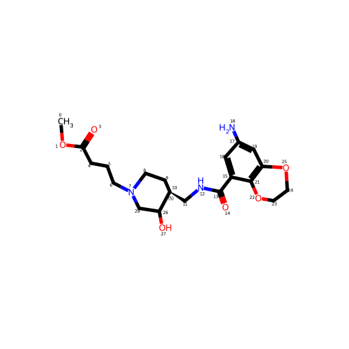 COC(=O)CCCN1CC[C@@H](CNC(=O)c2cc(N)cc3c2OCCO3)C(O)C1